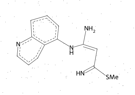 CSC(=N)/C=C(/N)Nc1cccc2ncccc12